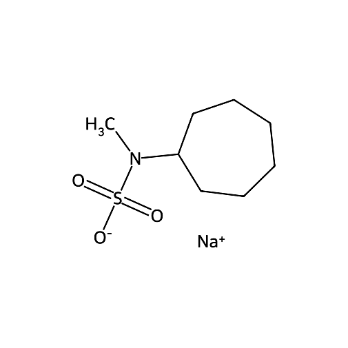 CN(C1CCCCCC1)S(=O)(=O)[O-].[Na+]